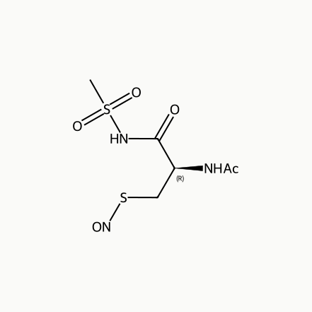 CC(=O)N[C@@H](CSN=O)C(=O)NS(C)(=O)=O